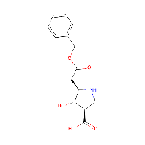 O=C(C[C@H]1NC[C@@H](C(=O)O)[C@@H]1O)OCc1ccccc1